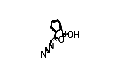 [N-]=[N+]=NC[C@@H]1OB(O)c2ccccc21